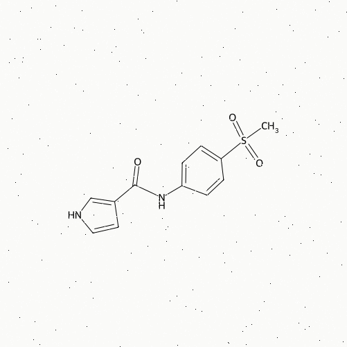 CS(=O)(=O)c1ccc(NC(=O)c2cc[nH]c2)cc1